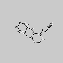 C#CCCC1OCCOC1CC1OCCOC1C